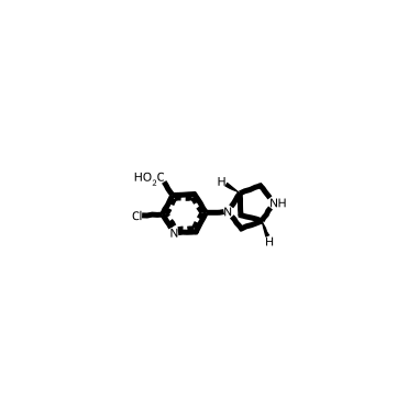 O=C(O)c1cc(N2C[C@@H]3C[C@H]2CN3)cnc1Cl